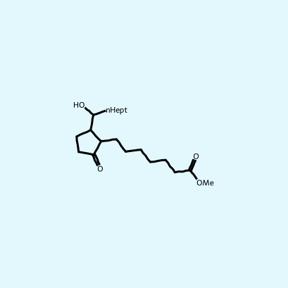 CCCCCCCC(O)C1CCC(=O)C1CCCCCCC(=O)OC